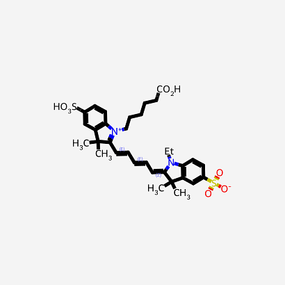 CCN1\C(=C/C=C/C=C/C2=[N+](CCCCCC(=O)O)c3ccc(S(=O)(=O)O)cc3C2(C)C)C(C)(C)c2cc(S(=O)(=O)[O-])ccc21